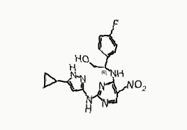 O=[N+]([O-])c1cnc(Nc2cc(C3CC3)[nH]n2)nc1N[C@@H](CO)c1ccc(F)cc1